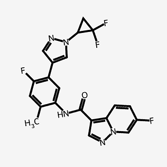 Cc1cc(F)c(-c2cnn(C3CC3(F)F)c2)cc1NC(=O)c1cnn2cc(F)ccc12